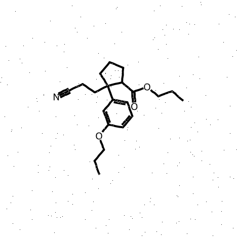 CCCOC(=O)C1CCCC1(CCC#N)c1cccc(OCCC)c1